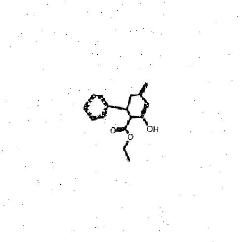 C=C1C=C(O)C(C(=O)OCC)C(c2ccccc2)C1